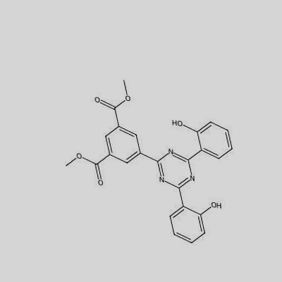 COC(=O)c1cc(C(=O)OC)cc(-c2nc(-c3ccccc3O)nc(-c3ccccc3O)n2)c1